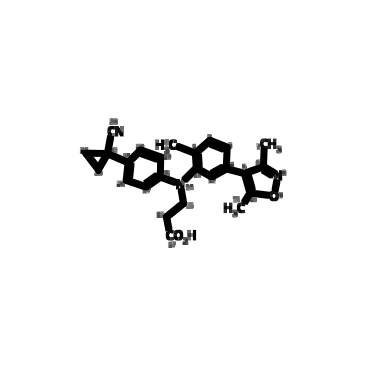 Cc1ccc(-c2c(C)noc2C)cc1N(CCC(=O)O)c1ccc(C2(C#N)CC2)cc1